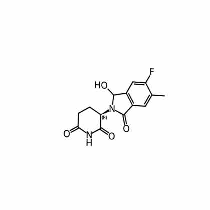 Cc1cc2c(cc1F)C(O)N([C@@H]1CCC(=O)NC1=O)C2=O